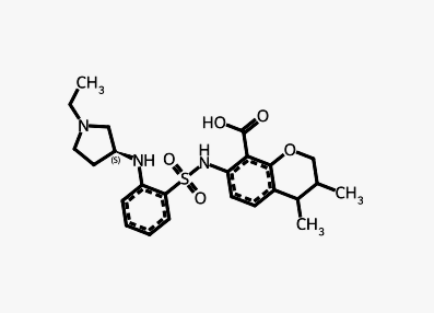 CCN1CC[C@H](Nc2ccccc2S(=O)(=O)Nc2ccc3c(c2C(=O)O)OCC(C)C3C)C1